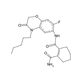 CCCCCN1C(=O)COc2cc(F)c(NC(=O)C3=C(C(N)=O)CCCC3)cc21